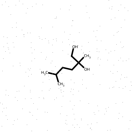 CC(C)CCC(C)(O)CO